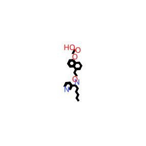 CCCCCC(=NOCCC1=CCCc2c(OCC(=O)O)cccc21)c1cccnc1